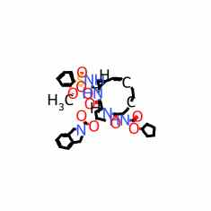 COc1ccccc1S(=O)(=O)NC(=O)[C@@]12C[C@H]1/C=C\CCCCC[C@H](NC(=O)OC1CCCC1)C(=O)N1C[C@H](OC(=O)N3CCc4ccccc4C3)C[C@H]1C(=O)N2